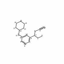 CCC(CC#N)c1cncc(SC2CCCCC2)c1